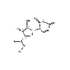 [2H]OC([2H])[C@H]1O[C@@H](n2ccc(=O)[nH]c2=O)[C@H](O)[C@@H]1O